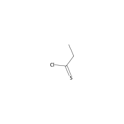 CCC(=S)Cl